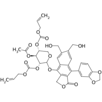 C=CCOC(=O)O[C@@H]1COC(Oc2c3c(c(-c4ccc5c(c4)OCO5)c4cc(CO)c(CO)cc24)C(=O)OC3)[C@H](OC(=O)OCC=C)[C@H]1OC(C)=O